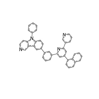 c1ccc(-n2c3ccncc3c3cc(-c4cccc(-c5cc(-c6cccc7ccccc67)cc(-c6cccnc6)n5)c4)ccc32)cc1